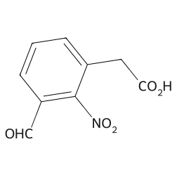 O=Cc1cccc(CC(=O)O)c1[N+](=O)[O-]